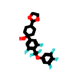 OC1(c2cc(F)c(C(F)(F)Oc3cc(F)c(F)c(F)c3)c(F)c2)CCC(C2OCCO2)CC1